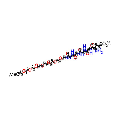 COCCOCCOCCOCCOCCOCCOCCOCCNC(=O)CNC(=O)CNC(=O)CNC(=O)CNC(=O)[C@@H](N)CCC(=O)O